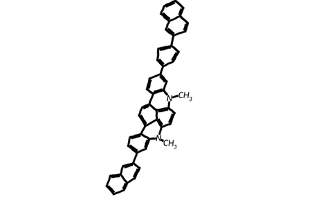 CN1c2cc(-c3ccc(-c4ccc5ccccc5c4)cc3)ccc2-c2ccc3c4c(ccc1c24)N(C)c1cc(-c2ccc4ccccc4c2)ccc1-3